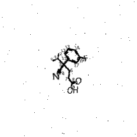 CC(C)C(C#N)(CCC(=O)O)c1cccc(F)c1